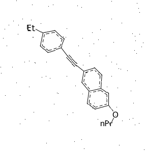 CCCOc1ccc2cc(C#Cc3ccc(CC)cc3)ccc2c1